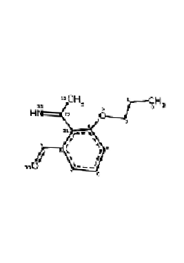 CCCOc1cccc(C=O)c1C(C)=N